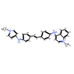 C[n+]1ccc(Nc2ccc(C=Cc3ccc(Nc4cc[n+](C)c5ccccc45)cc3)cc2)cc1